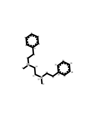 CN(CCc1ccccc1)CCN(C)CCc1ccccc1